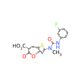 CN(C(=O)Nc1cccc(F)c1)c1cc2oc(=O)c(C(=O)O)cc2s1